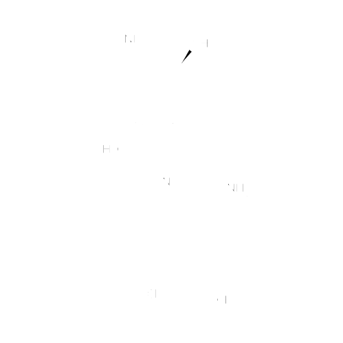 CCN(CC(=O)C[C@H](C)C1CCCN1)c1cc(Cl)c(C)cc1N